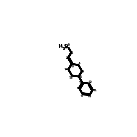 [SiH3]CC=C1CCC(c2ccccc2)CC1